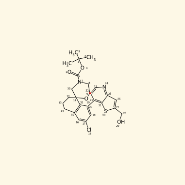 CC(C)(C)OC(=O)N1CCOC2(CCCc3cc(Cl)cc(-c4ccnc5cc(CO)sc45)c32)C1